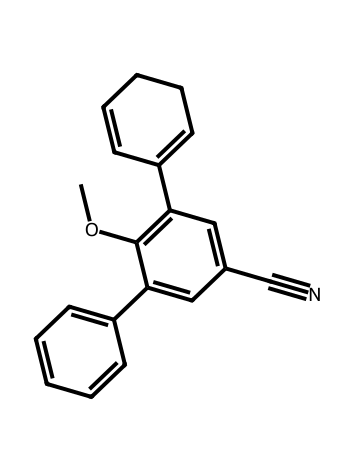 COc1c(C2=CCCC=C2)cc(C#N)cc1-c1ccccc1